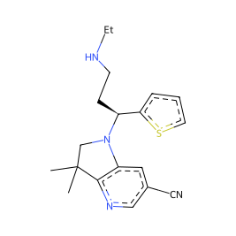 CCNCC[C@@H](c1cccs1)N1CC(C)(C)c2ncc(C#N)cc21